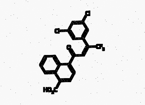 O=C(O)c1ccc(C(=O)C=C(c2cc(Cl)cc(Cl)c2)C(F)(F)F)c2ccccc12